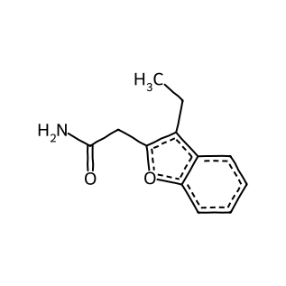 CCc1c(CC(N)=O)oc2ccccc12